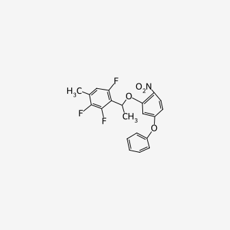 Cc1cc(F)c(C(C)Oc2cc(Oc3ccccc3)ccc2[N+](=O)[O-])c(F)c1F